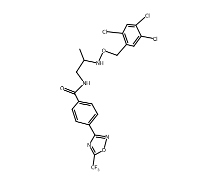 CC(CNC(=O)c1ccc(-c2noc(C(F)(F)F)n2)cc1)NOCc1cc(Cl)c(Cl)cc1Cl